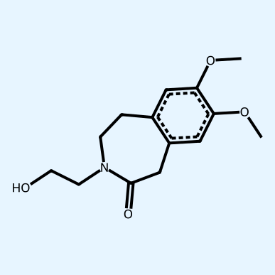 COc1cc2c(cc1OC)CC(=O)N(CCO)CC2